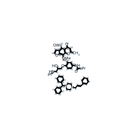 C(=C\c1ccccc1)/CN1CCN(C(c2ccccc2)c2ccccc2)CC1.CCCC(=O)Nc1ccc(OCC(O)CNC(C)C)c(C(C)=O)c1.COc1c2occc2c(OC)c2c(=O)cc(C)oc12